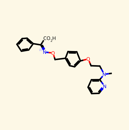 CN(CCOc1ccc(CO/N=C(\C(=O)O)c2ccccc2)cc1)c1ccccn1